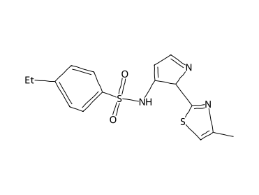 CCc1ccc(S(=O)(=O)NC2=CC=NC2c2nc(C)cs2)cc1